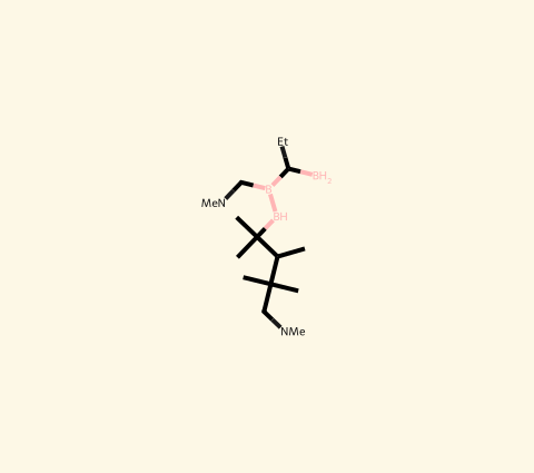 BC(CC)B(BC(C)(C)C(C)C(C)(C)CNC)CNC